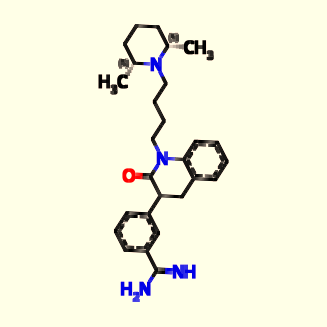 C[C@@H]1CCC[C@H](C)N1CCCCN1C(=O)C(c2cccc(C(=N)N)c2)Cc2ccccc21